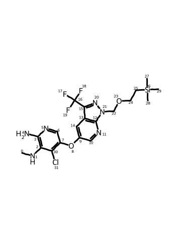 CNc1c(N)ncc(Oc2cnc3c(c2)c(C(F)(F)F)nn3COCC[Si](C)(C)C)c1Cl